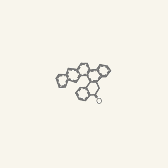 O=C1Cc2c(c3c4cc5ccccc5cc4ccc3c3ccccc23)-c2ccccc21